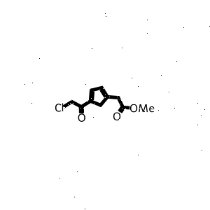 COC(=O)CC1=CC=C(C(=O)CCl)C1